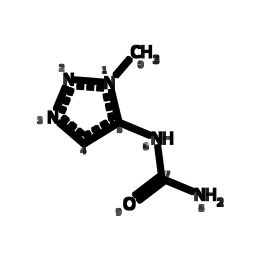 Cn1nncc1NC(N)=O